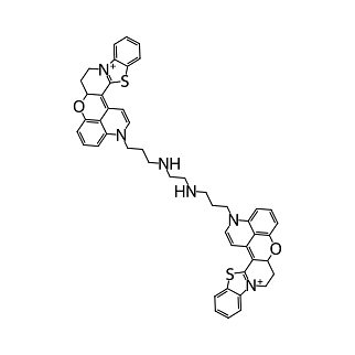 C1=CN(CCCNCCNCCCN2C=CC3=C4c5sc6ccccc6[n+]5CCC4Oc4cccc2c43)c2cccc3c2C1=C1c2sc4ccccc4[n+]2CCC1O3